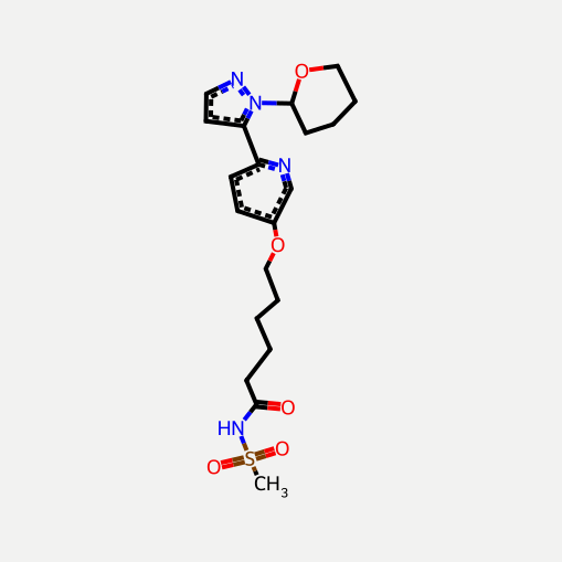 CS(=O)(=O)NC(=O)CCCCCOc1ccc(-c2ccnn2C2CCCCO2)nc1